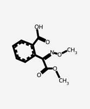 CON=C(C(=O)OC)c1ccccc1C(=O)O